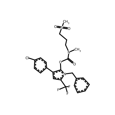 CN(CCCS(C)(=O)=O)C(=O)Oc1c(-c2ccc(Cl)cc2)cc(C(F)(F)F)n1Cc1ccccc1